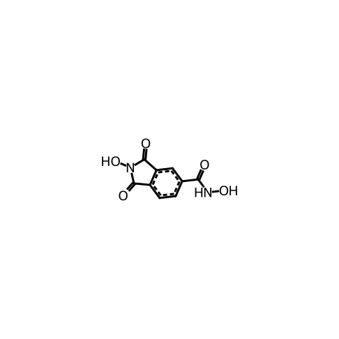 O=C(NO)c1ccc2c(c1)C(=O)N(O)C2=O